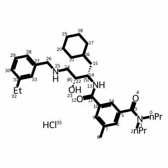 CCCN(CCC)C(=O)c1cc(C)cc(C(=O)N[C@@H](CC2CCCCC2)[C@H](O)CNCc2cccc(CC)c2)c1.Cl